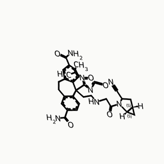 CC(C)n1oc(=O)nc1C1(CCNCC(=O)N2C(C#N)C[C@@H]3C[C@@H]32)c2ccc(C(N)=O)cc2CCc2cc(C(N)=O)ccc21